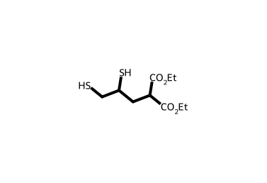 CCOC(=O)C(CC(S)CS)C(=O)OCC